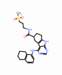 CS(=O)(=O)CCCNC(=O)C1CCc2[nH]c3ncnc(Nc4cccc5c4CCCC5)c3c2C1